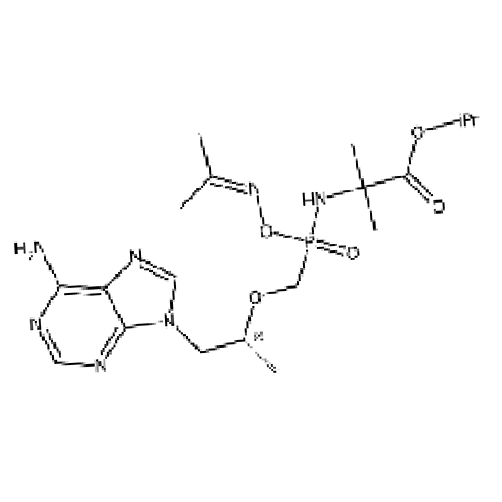 CC(C)=NOP(=O)(CO[C@H](C)Cn1cnc2c(N)ncnc21)NC(C)(C)C(=O)OC(C)C